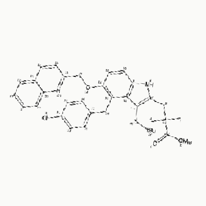 COC(=O)C(C)(C)Cc1[nH]c2ccc(OCc3ccc4ccccc4n3)c(Cc3ccc(Cl)cc3)c2c1SC(C)(C)C